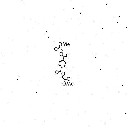 COC(=O)COC(=O)c1ccc(C(=O)OCC(=O)OC)cc1